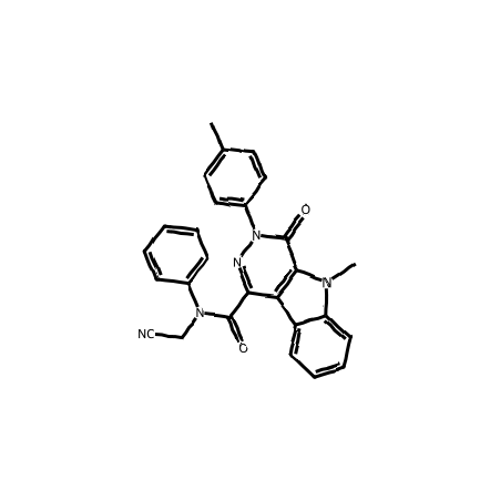 Cc1ccc(-n2nc(C(=O)N(CC#N)c3ccccc3)c3c4ccccc4n(C)c3c2=O)cc1